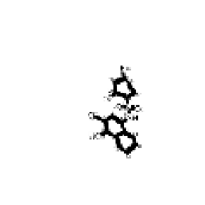 O=S(=O)(Nc1cc(Cl)c(O)c2ccccc12)c1ccc(F)cc1F